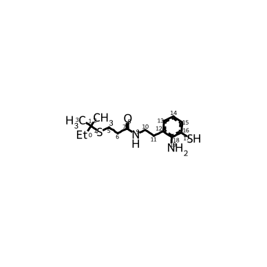 CCC(C)(C)SCCC(=O)NCCc1cccc(S)c1N